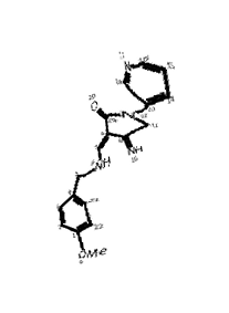 COc1ccc(CN/C=C2\C(=N)CN(c3cccnc3)C2=O)cc1